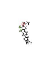 CCCOc1ccc(-c2ccc(-c3ccc(CCC)cc3)cc2)c(F)c1F